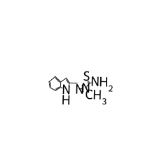 CN(N=Cc1cc2ccccc2[nH]1)C(N)=S